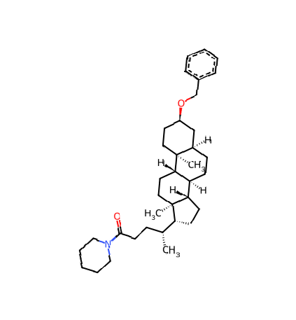 C[C@H](CCC(=O)N1CCCCC1)[C@H]1CC[C@H]2[C@@H]3CC[C@@H]4C[C@H](OCc5ccccc5)CC[C@]4(C)[C@H]3CC[C@]12C